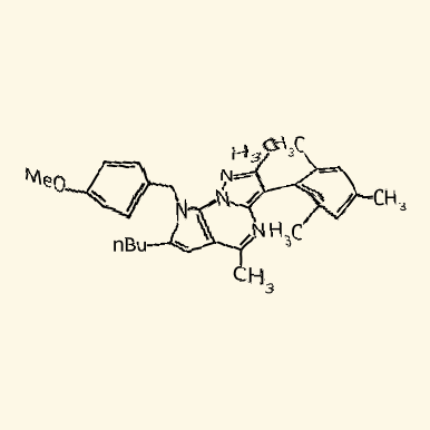 CCCCc1cc2c(C)nc3c(-c4c(C)cc(C)cc4C)c(C)nn3c2n1Cc1ccc(OC)cc1